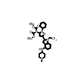 CN1CCC(Nc2cccc3c2cc(-c2cc(N(C(=O)OC(C)(C)C)C(=O)OC(C)(C)C)n(-c4ccccc4)n2)n3CC(F)(F)F)CC1